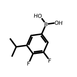 CC(C)c1cc(B(O)O)cc(F)c1F